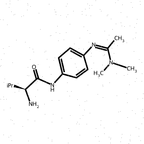 CC(=Nc1ccc(NC(=O)[C@@H](N)C(C)C)cc1)N(C)C